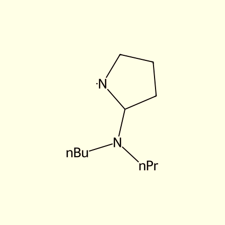 CCCCN(CCC)C1CCC[N]1